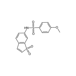 COc1ccc(S(=O)(=O)Nc2ccc3c(c2)S(=O)(=O)C=C3)cc1